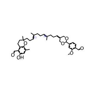 COc1cc(C2OCC(=CCC/C(C)=C/CC/C(C)=C/CCC3(C)CCc4c(C=O)c(O)cc(C)c4O3)CO2)ccc1C=O